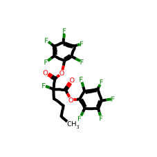 CCCCC(F)(C(=O)Oc1c(F)c(F)c(F)c(F)c1F)C(=O)Oc1c(F)c(F)c(F)c(F)c1F